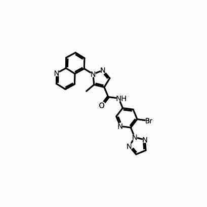 Cc1c(C(=O)Nc2cnc(-n3nccn3)c(Br)c2)cnn1-c1cccc2ncccc12